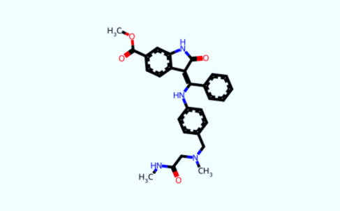 CNC(=O)CN(C)Cc1ccc(NC(=C2C(=O)Nc3cc(C(=O)OC)ccc32)c2ccccc2)cc1